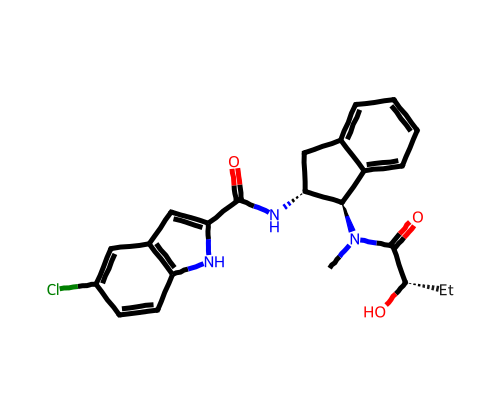 CC[C@H](O)C(=O)N(C)[C@@H]1c2ccccc2C[C@H]1NC(=O)c1cc2cc(Cl)ccc2[nH]1